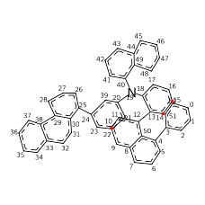 c1ccc(-c2cccc3cccc(-c4ccccc4N(c4cccc(-c5cccc6c5ccc5ccccc56)c4)c4cccc5ccccc45)c23)cc1